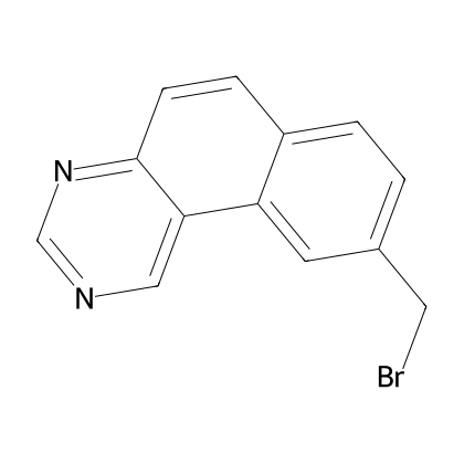 BrCc1ccc2ccc3ncncc3c2c1